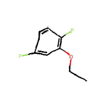 CCOc1cc(F)c[c]c1F